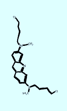 CN(CCCCCl)c1ccc2cc3ccc(N(C)CCCCCl)cc3nc2c1